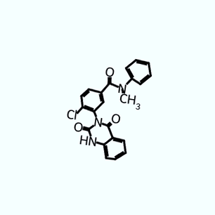 CN(C(=O)c1ccc(Cl)c(-n2c(=O)[nH]c3ccccc3c2=O)c1)c1ccccc1